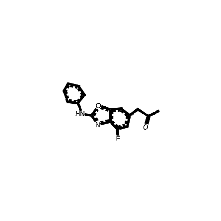 CC(=O)Cc1cc(F)c2nc(Nc3ccccc3)oc2c1